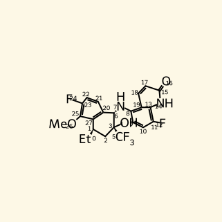 CC[C@@H]1C[C@](O)(C(F)(F)F)[C@@H](Nc2ccc(F)c3[nH]c(=O)ccc23)c2ccc(F)c(OC)c21